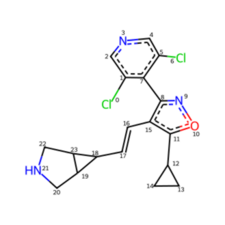 Clc1cncc(Cl)c1-c1noc(C2CC2)c1C=CC1C2CNCC12